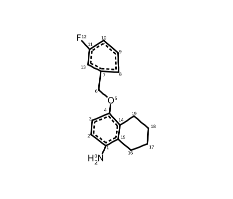 Nc1ccc(OCc2cccc(F)c2)c2c1CCCC2